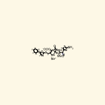 CO/N=C(\C(=O)N[C@@H]1C(=O)N2C(C(=O)[O-])=C(CSc3ncc(-c4ccccc4)o3)CS[C@H]12)c1csc(N)n1.[Na+]